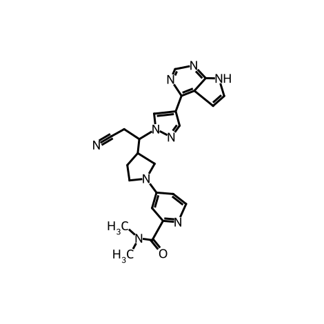 CN(C)C(=O)c1cc(N2CCC(C(CC#N)n3cc(-c4ncnc5[nH]ccc45)cn3)C2)ccn1